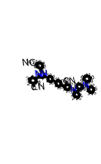 N#Cc1cccc(-c2cc(-c3ccc(-c4ccc(-c5ccc(-n6c7ccccc7c7cc(N(c8ccccc8)c8ccccc8)ccc76)cc5C#N)cc4)cc3)nc(-c3cccc(C#N)c3)n2)c1